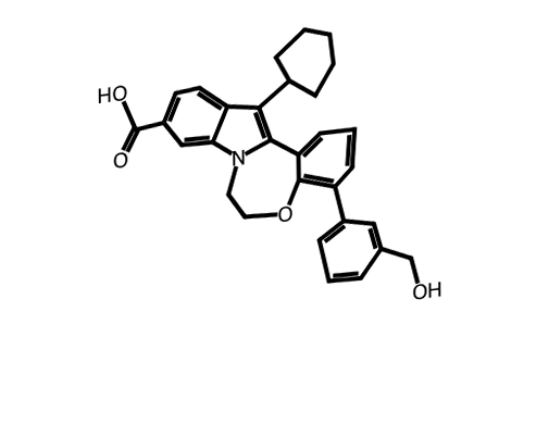 O=C(O)c1ccc2c(C3CCCCC3)c3n(c2c1)CCOc1c(-c2cccc(CO)c2)cccc1-3